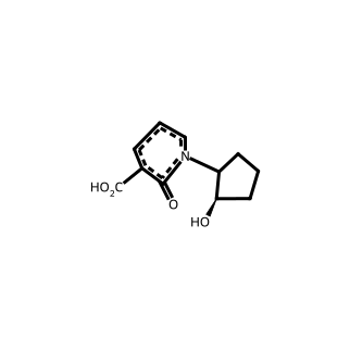 O=C(O)c1cccn(C2CCC[C@H]2O)c1=O